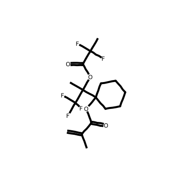 C=C(C)C(=O)OC1(C(C)(OC(=O)C(C)(F)F)C(F)(F)F)CCCCC1